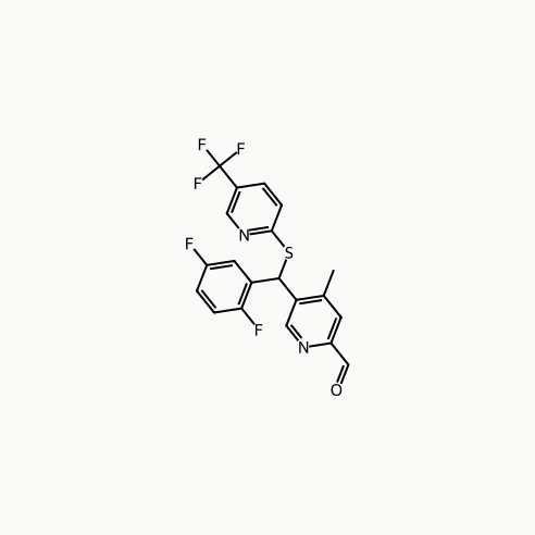 Cc1cc(C=O)ncc1C(Sc1ccc(C(F)(F)F)cn1)c1cc(F)ccc1F